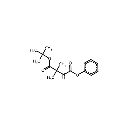 CC(C)(C)OC(=O)C(C)(C)NC(=O)Oc1ccccc1